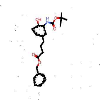 CC(C)(C)OC(=O)Nc1cc(CCCC(=O)OCc2ccccc2)ccc1O